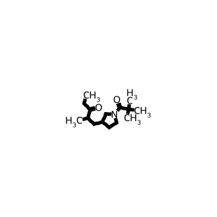 CCC(=O)C(C)CC1CCN(C(=O)C(C)(C)C)C1